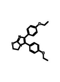 CCOc1ccc(-c2nc3n(c2-c2ccc(OCC)cc2)CCS3)cc1